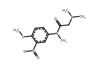 COc1ccc(N(C)C(=O)CN(C)C)cc1[N+](=O)[O-]